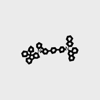 c1ccc(C2(c3ccccc3)c3ccccc3-c3ccc(-n4c5ccccc5c5cc(-c6ccc(-c7ccc(N(c8ccc9ccccc9c8)c8cc9ccccc9c9ccccc89)cc7)cc6)ccc54)cc32)cc1